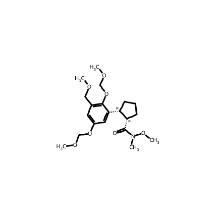 COCOc1cc(COC)c(OCOC)c([C@@H]2CCC[C@@H]2C(=O)N(C)OC)c1